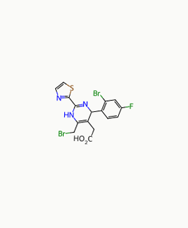 O=C(O)CC1=C(CBr)NC(c2nccs2)=NC1c1ccc(F)cc1Br